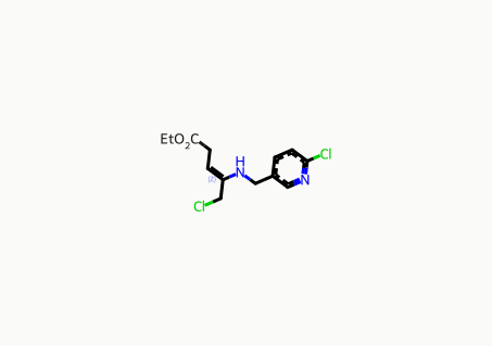 CCOC(=O)C/C=C(/CCl)NCc1ccc(Cl)nc1